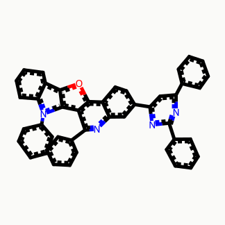 c1ccc(-c2cc(-c3ccc4c(c3)nc(-c3ccccc3)c3c4oc4c5ccccc5n(-c5ccccc5)c43)nc(-c3ccccc3)n2)cc1